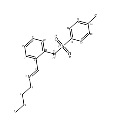 CCCC/N=C/c1ccccc1NS(=O)(=O)c1ccc(C)cc1